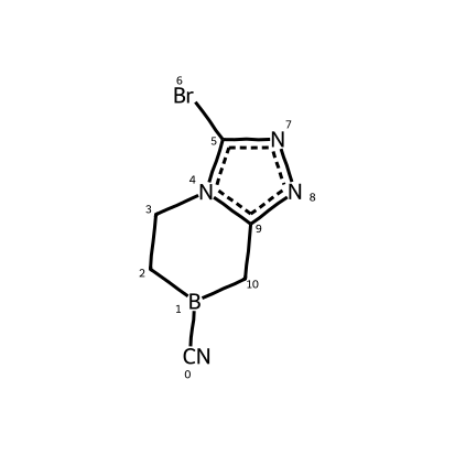 N#CB1CCn2c(Br)nnc2C1